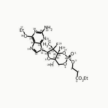 CCOC(=O)CCO[P@@]1(=O)OC[C@H]2O[C@@H](n3cnc4c(OCC)nc(N)nc43)[C@](C)(F)[C@@H]2O1